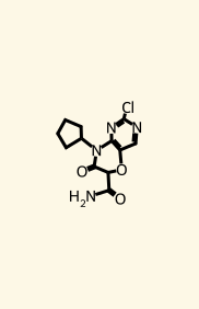 NC(=O)C1Oc2cnc(Cl)nc2N(C2CCCC2)C1=O